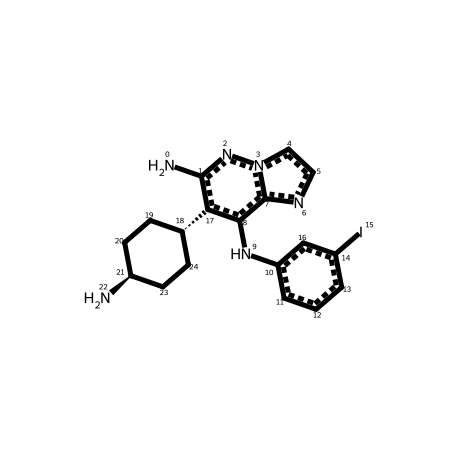 Nc1nn2ccnc2c(Nc2cccc(I)c2)c1[C@H]1CC[C@H](N)CC1